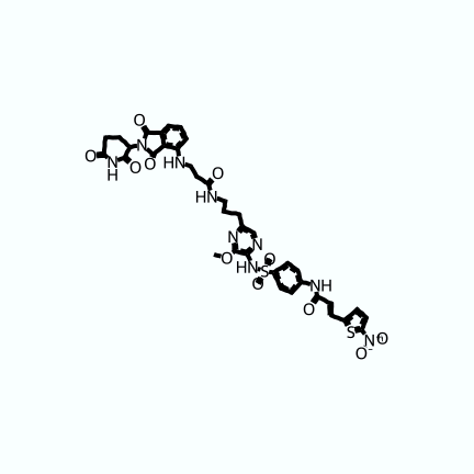 COc1nc(CCCNC(=O)CCNc2cccc3c2C(=O)N(C2CCC(=O)NC2=O)C3=O)cnc1NS(=O)(=O)c1ccc(NC(=O)/C=C/c2ccc([N+](=O)[O-])s2)cc1